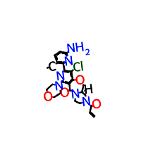 C=CC(=O)N1CCN2C(=O)c3c(N4CCOCC4)nc(-c4nc(N)ccc4CC)c(Cl)c3OC[C@H]2C1